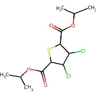 CC(C)OC(=O)C1SC(C(=O)OC(C)C)C(Cl)C1Cl